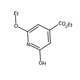 CCOC(=O)c1cc(O)nc(OCC)c1